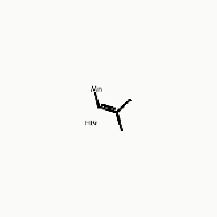 Br.CC(C)=[CH][Mn]